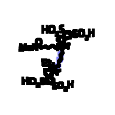 CCN1\C(=C/C=C/C=C/C2=[N+](CCCCCC(=O)NC)c3ccc4c(S(=O)(=O)O)cc(S(=O)(=O)O)cc4c3C2(C)C)C(C)(C)c2c1ccc1c(S(=O)(=O)O)cc(S(=O)(=O)O)cc21